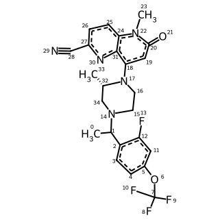 CC(c1ccc(OC(F)(F)F)cc1F)N1CCN(c2cc(=O)n(C)c3ccc(C#N)nc23)[C@@H](C)C1